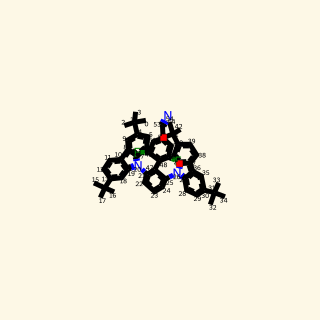 CC(C)(C)c1ccc2c(c1)c1ccc(C(C)(C)C)cc1n2-c1cccc(-n2c3ccc(C(C)(C)C)cc3c3ccc(C(C)(C)C)cc32)c1-c1c(F)cc(C#N)cc1F